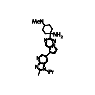 CNC1CCC(N)(c2ncc3c(-c4cnc5nc(C)n(C(C)C)c5c4)ccn3n2)CC1